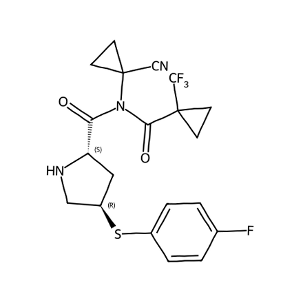 N#CC1(N(C(=O)[C@@H]2C[C@@H](Sc3ccc(F)cc3)CN2)C(=O)C2(C(F)(F)F)CC2)CC1